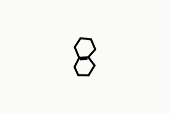 C1CCC2=C(C1)CCCC2